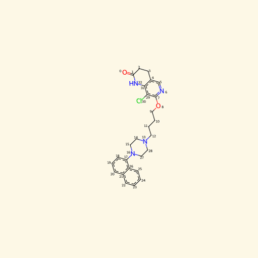 O=C1CCc2cnc(OCCCCN3CCN(c4cccc5ccccc45)CC3)c(Cl)c2N1